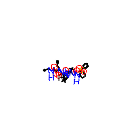 C#CCCC(NC(=O)[C@@H]1[C@@H]2C(CN1C(=O)[C@@H](NC(=O)NC1(CS(=O)(=O)c3ccccc3)CCCCC1)C(C)(C)C)C2(C)C)C(=O)C(=O)NCC#C